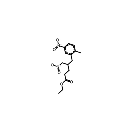 CCOC(=O)CCC(Cc1cc([N+](=O)[O-])ccc1C)C[N+](=O)[O-]